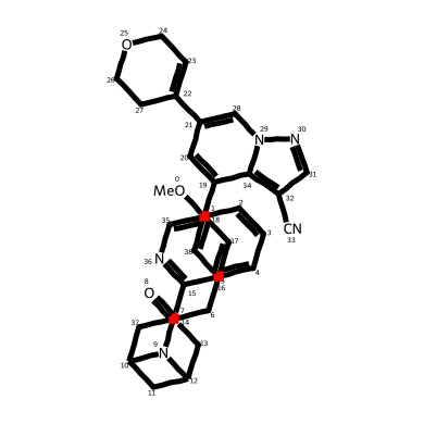 COc1cccc(CC(=O)N2C3CC2CN(c2ccc(-c4cc(C5=CCOCC5)cn5ncc(C#N)c45)cn2)C3)c1